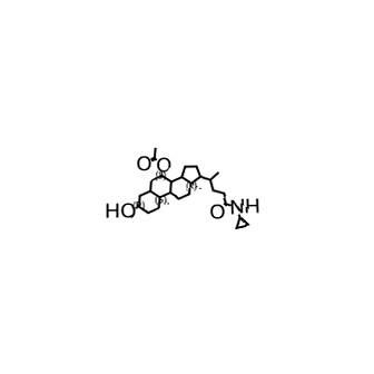 CC(=O)O[C@H]1CC2C[C@H](O)CC[C@]2(C)C2CC[C@]3(C)C(C(C)CCC(=O)NC4CC4)CCC3C21